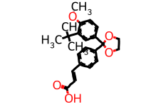 COc1ccc(C2(c3ccc(/C=C/C(=O)O)cc3)OCCO2)cc1C(C)(C)C